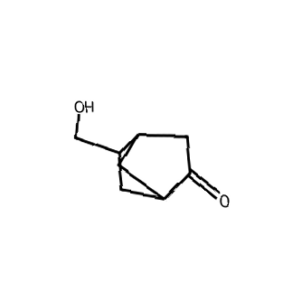 O=C1CC2CC1CC2CO